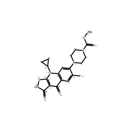 CC(C)(C)OC(=O)N1CCN(c2cc3c(cc2F)c(=O)c2c(=O)[nH]sc2n3C2CC2)CC1